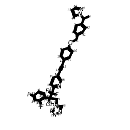 CC(c1ccc(COc2ccc(C#Cc3ccc(C(F)(F)C(O)(Cn4cnnn4)c4ccc(F)cc4F)nc3)cc2)cc1)n1cccn1